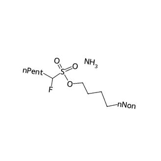 CCCCCCCCCCCCCOS(=O)(=O)C(F)CCCCC.N